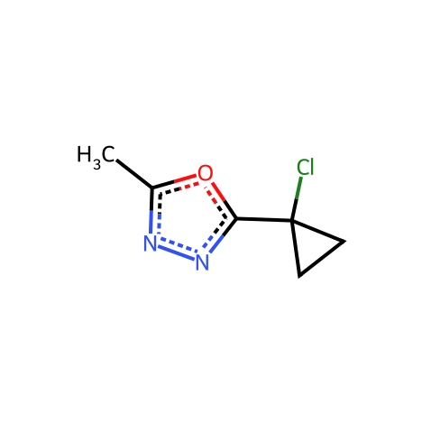 Cc1nnc(C2(Cl)CC2)o1